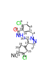 Cc1nn(Cc2ccc(Cl)c(C(N)=O)c2)c(C)c1-c1ccc(C#N)c(Cl)c1